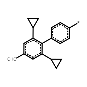 O=Cc1cc(C2CC2)c(-c2ccc(F)cc2)c(C2CC2)c1